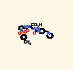 Cc1ccc(S(=O)(=O)N2CCC[C@@H]2C(=O)N[C@@H](CNC(=O)N2CCC(CN3CCCCC3)CC2)C(=O)O)cc1